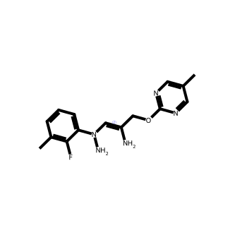 Cc1cnc(OC/C(N)=C/N(N)c2cccc(C)c2F)nc1